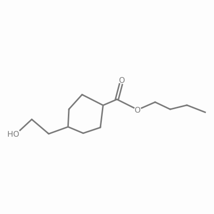 CCCCOC(=O)C1CCC(CCO)CC1